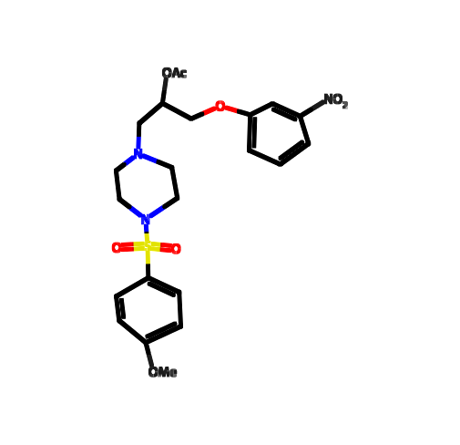 COc1ccc(S(=O)(=O)N2CCN(CC(COc3cccc([N+](=O)[O-])c3)OC(C)=O)CC2)cc1